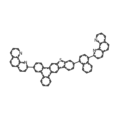 c1cnc2c(c1)ccc1ccc(-c3ccc4c(c3)c3ccccc3c3cc5c(cc43)sc3cc(-c4ccc(-c6ccc7ccc8cccnc8c7n6)c6ccccc46)ccc35)nc12